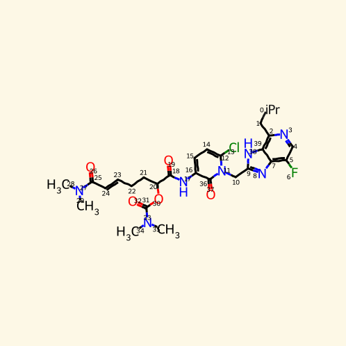 CC(C)Cc1ncc(F)c2nc(Cn3c(Cl)ccc(NC(=O)C(CC/C=C/C(=O)N(C)C)OC(=O)N(C)C)c3=O)[nH]c12